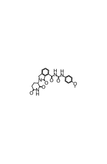 COc1ccc(NC(=O)NC(=O)c2cccc3c2C(=O)N(C2CCC(=O)NC2=O)C3)cc1